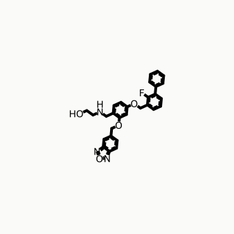 OCCNCc1ccc(OCc2cccc(-c3ccccc3)c2F)cc1OCc1ccc2nonc2c1